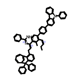 CC/C=C\c1c(-c2ccc(-c3ccc4c(c3)c3ccccc3n4-c3ccccc3)cc2)ccc(C(=C/Cc2cccc3c2C2=CC(C=CC=C2)C3(c2ccccc2)c2ccccc2)/N=C(\N)c2ccccc2)c1C